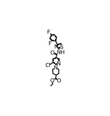 CCOC(=O)C1CCN(c2ncc(C(=O)Nc3nc(-c4ccc(F)cc4F)cs3)cc2Cl)CC1